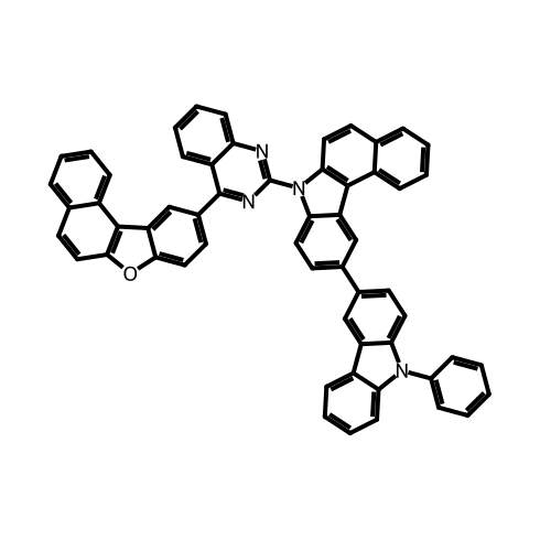 c1ccc(-n2c3ccccc3c3cc(-c4ccc5c(c4)c4c6ccccc6ccc4n5-c4nc(-c5ccc6oc7ccc8ccccc8c7c6c5)c5ccccc5n4)ccc32)cc1